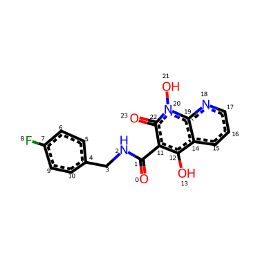 O=C(NCc1ccc(F)cc1)c1c(O)c2cccnc2n(O)c1=O